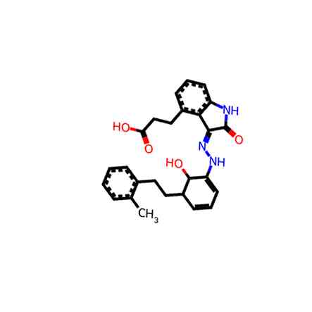 Cc1ccccc1CCC1C=CC=C(NN=C2C(=O)Nc3cccc(CCC(=O)O)c32)C1O